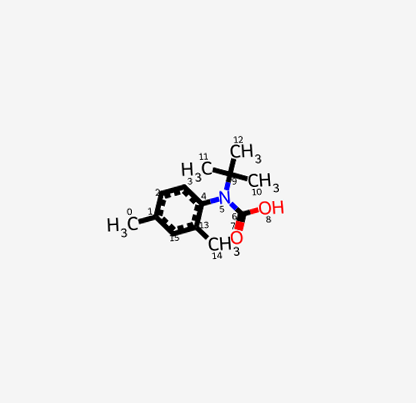 Cc1ccc(N(C(=O)O)C(C)(C)C)c(C)c1